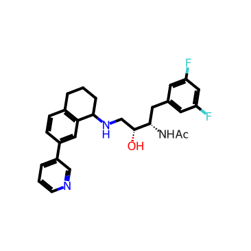 CC(=O)N[C@@H](Cc1cc(F)cc(F)c1)[C@H](O)CNC1CCCc2ccc(-c3cccnc3)cc21